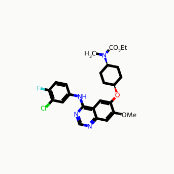 CCOC(=O)N(C)[C@H]1CC[C@@H](Oc2cc3c(Nc4ccc(F)c(Cl)c4)ncnc3cc2OC)CC1